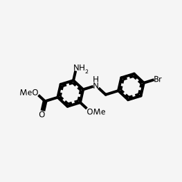 COC(=O)c1cc(N)c(NCc2ccc(Br)cc2)c(OC)c1